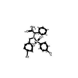 CCc1ccc(CN([C@@H](C(N)=O)c2ccccc2)S(=O)(=O)c2ccc(Cl)cc2)cc1